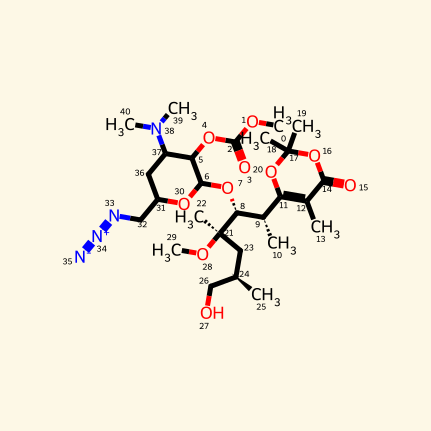 COC(=O)OC1C(O[C@H]([C@@H](C)C2=C(C)C(=O)OC(C)(C)O2)[C@@](C)(C[C@@H](C)CO)OC)OC(CN=[N+]=[N-])CC1N(C)C